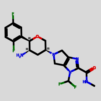 CNC(=O)c1nc2c(n1C(F)F)CN([C@H]1CO[C@H](c3cc(F)ccc3F)[C@@H](N)C1)C2